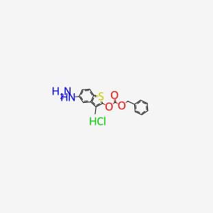 Cc1c(OC(=O)OCc2ccccc2)sc2ccc(NN)cc12.Cl